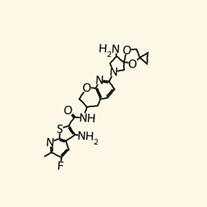 Cc1nc2sc(C(=O)NC3COc4nc(N5CC(N)C6(C5)OCC5(CC5)O6)ccc4C3)c(N)c2cc1F